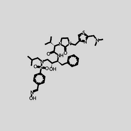 CC(C)CN(C[C@@H](O)[C@H](Cc1ccccc1)NC(=O)[C@H](C(C)C)N1CCN(Cc2csc(CN(C)C)n2)C1=O)S(=O)(=O)c1ccc(/C=N/O)cc1